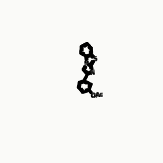 CC(=O)Oc1cccc(-c2cn3c(n2)sc2ccccc23)c1